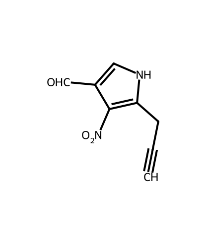 C#CCc1[nH]cc(C=O)c1[N+](=O)[O-]